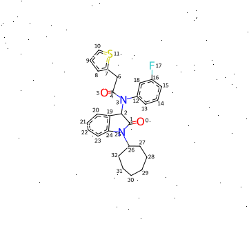 O=C1C(N(C(=O)Cc2cccs2)c2cccc(F)c2)c2ccccc2N1C1CCCCCC1